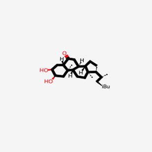 CC[C@H](C)C[C@@H](C)[C@H]1CC[C@H]2[C@@H]3CC(=O)[C@H]4C[C@H](O)[C@H](O)C[C@]4(C)[C@H]3CC[C@]12C